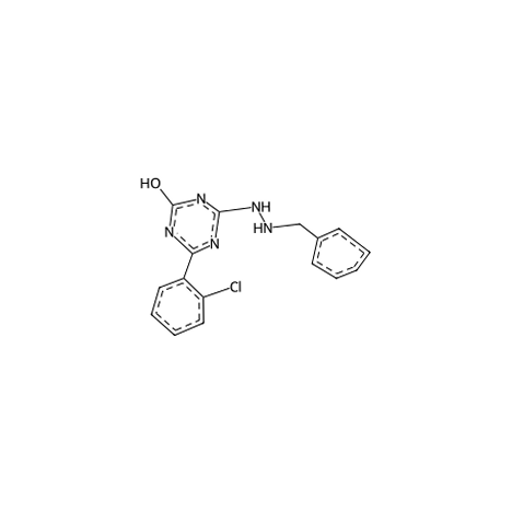 Oc1nc(NNCc2ccccc2)nc(-c2ccccc2Cl)n1